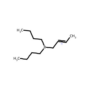 C/C=C/CB(CCCC)CCCC